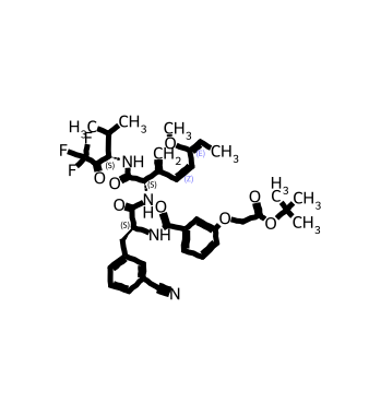 C=C(/C=C\C(=C/C)OC)[C@H](NC(=O)[C@H](Cc1cccc(C#N)c1)NC(=O)c1cccc(OCC(=O)OC(C)(C)C)c1)C(=O)N[C@H](C(=O)C(F)(F)F)C(C)C